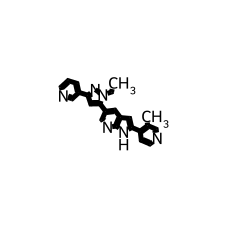 CCn1nc(-c2cccnc2)cc1-c1cnc2[nH]c(-c3ccncc3C)cc2c1